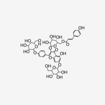 O=C(/C=C/c1ccc(O)cc1)OCC1O[C@@H](Oc2c(-c3ccc(O[C@@H]4OC(CO)[C@@H](O)C(O)C4O)cc3)oc3cc(O[C@@H]4OC(CO)[C@@H](O)[C@H](O)C4O)cc(O)c3c2=O)C(O)C(O)[C@@H]1O